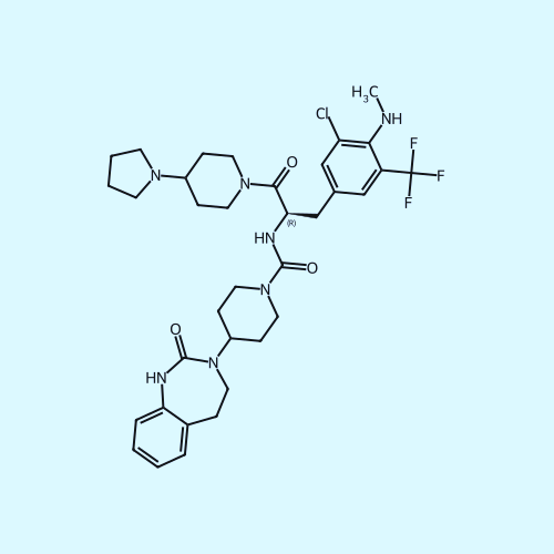 CNc1c(Cl)cc(C[C@@H](NC(=O)N2CCC(N3CCc4ccccc4NC3=O)CC2)C(=O)N2CCC(N3CCCC3)CC2)cc1C(F)(F)F